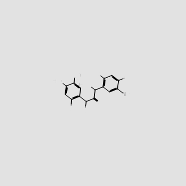 CC(C)c1cc(C(C)C(=O)C(C)c2cc(C(C)C)c(O)cc2O)c(O)cc1O